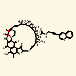 CO[C@H]1/C=C/O[C@@]2(C)Oc3c(C)c(O)c4c(c3C2=O)C(=O)C(N2CCOCC2)=C(NC(=O)/C(C)=C\C=C\[C@H](C)[C@H](O)[C@@H](C)[C@@H](O)[C@@H](C)[C@H](OC(=O)NCC#Cc2cnc3ccccc3c2)[C@@H]1C)C4=O